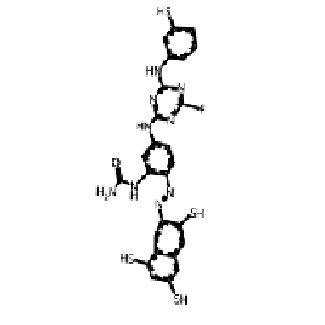 NC(=O)Nc1cc(Nc2nc(F)nc(Nc3cccc(S)c3)n2)ccc1N=Nc1cc2c(S)cc(S)cc2cc1S